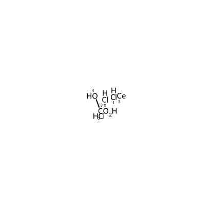 Cl.Cl.Cl.O=C(O)O.[Ce]